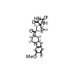 COc1cc2c(cc1F)CC1CN(C(=O)CC[C@@]3(C4CC4)NC(=O)NC3=O)CCN21